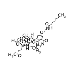 CCCCCCC(=O)NCCOc1cc(C(N)=O)cc(C(O)NCCC(C)(C)OC(C)(C)C(=O)[N+]2=C(NCCOC)C2CCC(C)=O)c1